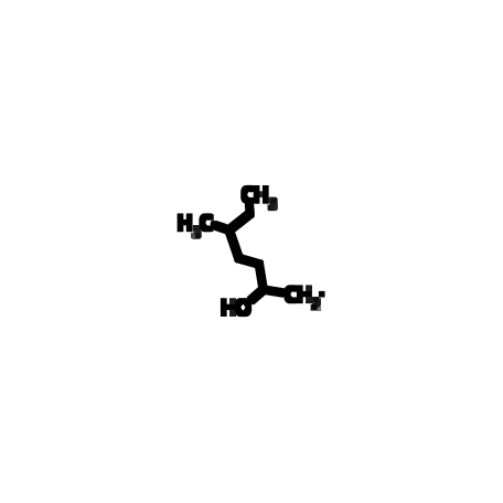 [CH2]C(O)CCC(C)CC